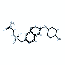 CC(C)(C)C1CCC(Oc2ccc3cc(CS(=O)(=O)CCC(N)=O)ccc3c2)CC1